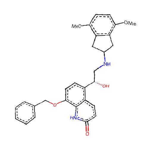 COc1ccc(OC)c2c1CC(NC[C@H](O)c1ccc(OCc3ccccc3)c3[nH]c(=O)ccc13)C2